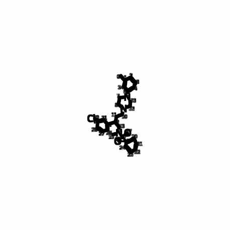 Cc1cccc(N2CCN(CCC(CN(C)S(=O)(=O)c3ccccc3)c3cccc(Cl)c3)CC2)c1